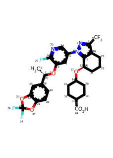 C[C@H](Oc1cc(-n2nc(C(F)(F)F)c3c2[C@H](OC2CCC(C(=O)O)CC2)CCC3)cnc1F)c1ccc2c(c1)OC(F)(F)O2